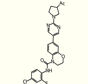 CC(=O)C1CCN(c2ncc(-c3ccc4c(c3)OCCN4C(=O)Nc3ccc(Cl)cc3F)cn2)C1